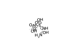 C[C@@H](O)[C@H]1C(=O)N2C(OC(=O)O)=C(S[C@@H]3CN[C@H](C(O)CN)C3)[C@H](C)[C@@H]12